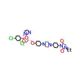 CCN1CC(=O)N(c2ccc(N3CCN(c4ccc(OC[C@@H]5CO[C@@](Cn6ccnc6)(c6ccc(Cl)cc6Cl)O5)cc4)CC3)cc2)C1=O